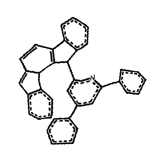 C1=CC2=C(C3C1=Cc1ccccc13)C(c1cc(-c3ccccc3)cc(-c3ccccc3)n1)c1ccccc12